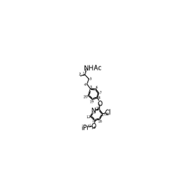 CC(=O)NC(C)CCc1ccc(Oc2ncc(OC(C)C)cc2Cl)cc1